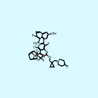 C#Cc1c(F)ccc2cc(O)cc(-c3nc(Cl)c4c(N5CC6CCC(C5)N6C(=O)C(F)(F)F)nc(OCC5(CN6CCC(F)CC6)CC5)nc4c3F)c12